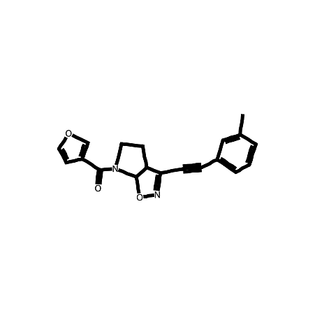 Cc1cccc(C#CC2=NOC3C2CCN3C(=O)c2ccoc2)c1